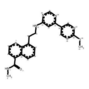 CNC(=O)c1ccnc2c(CCNc3cc(-c4cnc(SC)nc4)ncn3)cccc12